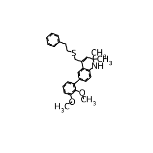 COc1cccc(-c2ccc3c(c2)C(CSCCc2ccccc2)=CC(C)(C)N3)c1OC